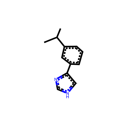 CC(C)c1cccc(-c2[c][nH]cn2)c1